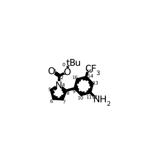 CC(C)(C)OC(=O)n1cccc1-c1cc(N)cc(C(F)(F)F)c1